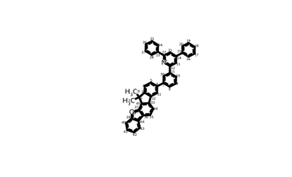 CC1(C)c2ccc(-c3cccc(-c4cc(-c5ccccc5)cc(-c5ccccc5)n4)c3)cc2-c2ccc3c(oc4ccccc43)c21